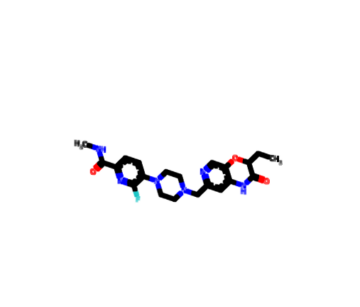 CCC1Oc2cnc(CN3CCN(c4ccc(C(=O)NC)nc4F)CC3)cc2NC1=O